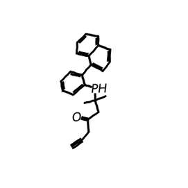 C#CCC(=O)CC(C)(C)Pc1ccccc1-c1cccc2ccccc12